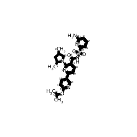 CC1CC(C)N(c2nc(-c3ccc(OC(C)C)nc3)ccc2C(=O)NS(=O)(=O)c2cccc(N)n2)C1